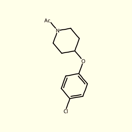 CC(=O)N1CCC(Oc2ccc(Cl)cc2)CC1